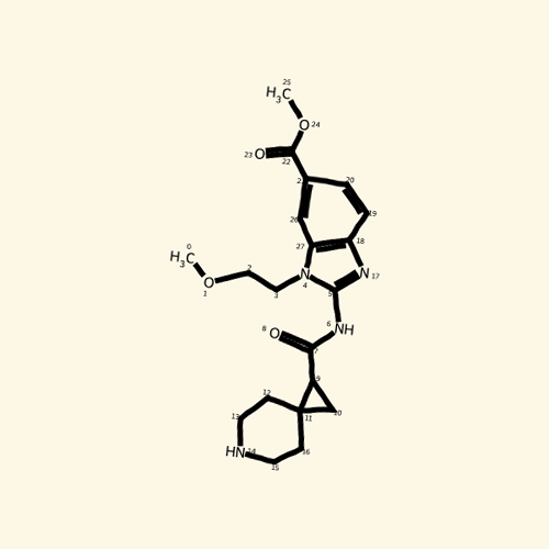 COCCn1c(NC(=O)C2CC23CCNCC3)nc2ccc(C(=O)OC)cc21